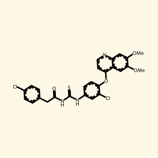 COc1cc2nccc(Oc3ccc(NC(=S)NC(=O)Cc4ccc(Cl)cc4)cc3Cl)c2cc1OC